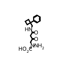 NN(CC(=O)CC(=O)NCC1(c2ccccc2)CCC1)C(=O)O